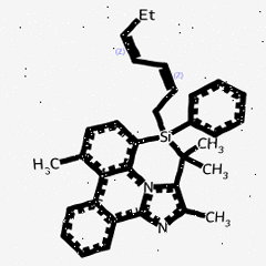 CC/C=C\C=C/C[Si]1(c2ccccc2)c2ccc(C)c3c4ccccc4c4nc(C)c(n4c23)C1(C)C